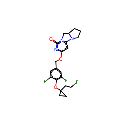 O=c1nc(OCc2cc(F)c(OC3(CCF)CC3)c(F)c2)cc2n1CC1CCCN21